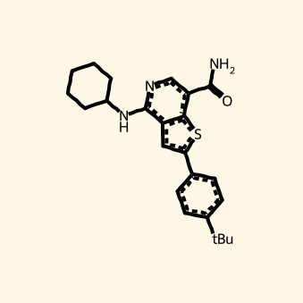 CC(C)(C)c1ccc(-c2cc3c(NC4CCCCC4)ncc(C(N)=O)c3s2)cc1